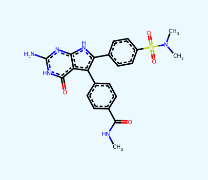 CNC(=O)c1ccc(-c2c(-c3ccc(S(=O)(=O)N(C)C)cc3)[nH]c3nc(N)[nH]c(=O)c23)cc1